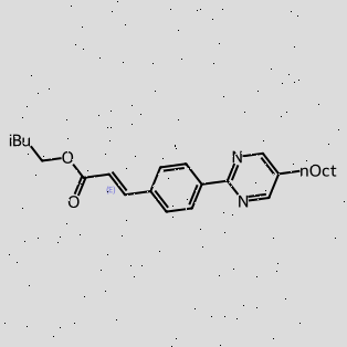 CCCCCCCCc1cnc(-c2ccc(/C=C/C(=O)OCC(C)CC)cc2)nc1